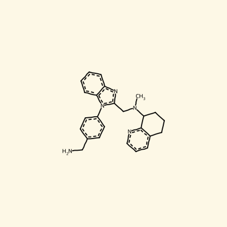 CN(Cc1nc2ccccc2n1-c1ccc(CN)cc1)C1CCCc2cccnc21